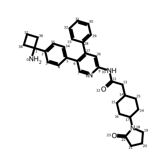 NC1(c2ccc(-c3cnc(NC(=O)CC4CCC(N5CCCC5=O)CC4)cc3-c3ccccc3)cc2)CCC1